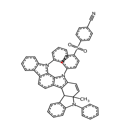 CC12C=Cc3c(c4ccc5c6ccccc6n(-c6ccccc6)c5c4n3-c3ccc(S(=O)(=O)c4ccc(C#N)cc4)cc3)C1c1ccccc1N2c1ccccc1